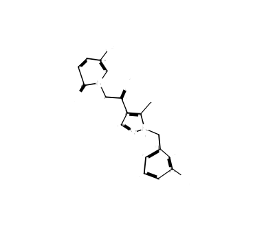 Cc1c(C(=O)Cn2cc(Br)ccc2=O)cnn1Cc1cccc(C(=O)O)c1